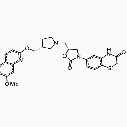 COc1ccc2ccc(OC[C@@H]3CCN(C[C@@H]4CN(c5ccc6c(c5)NC(=O)CS6)C(=O)O4)C3)nc2c1